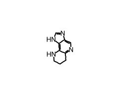 c1nc2cnc3c(c2[nH]1)NCCC3